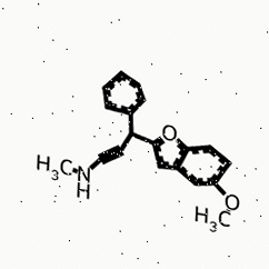 CNC#CC(c1ccccc1)c1cc2cc(OC)ccc2o1